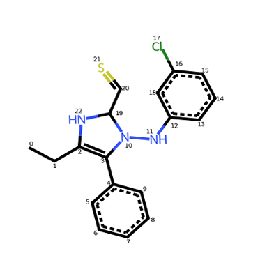 CCC1=C(c2ccccc2)N(Nc2cccc(Cl)c2)C(C=S)N1